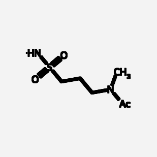 CC(=O)N(C)CCCS([NH])(=O)=O